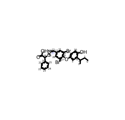 CCC(C)c1cc(Oc2c(Br)cc(/C=N\OC(C(=O)O)c3ccccc3)cc2Br)ccc1O